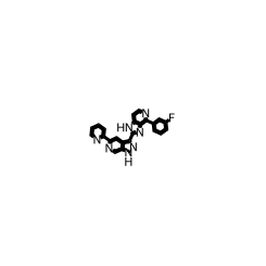 Fc1cccc(-c2nccc3[nH]c(-c4n[nH]c5cnc(-c6ccccn6)cc45)nc23)c1